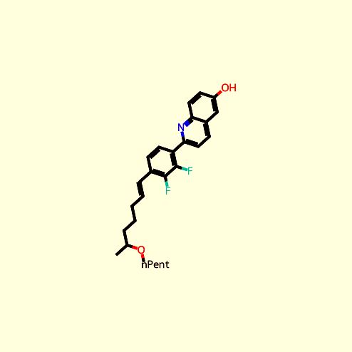 CCCCCOC(C)CCC/C=C/c1ccc(-c2ccc3cc(O)ccc3n2)c(F)c1F